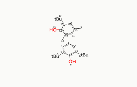 CC(C)(C)c1cccc(C(C)(C)C)c1O.Cc1cc(C)c(O)c(C(C)(C)C)c1